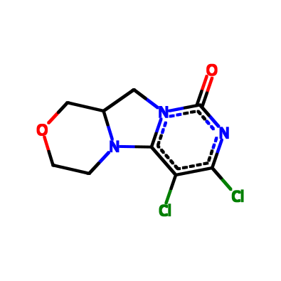 O=c1nc(Cl)c(Cl)c2n1CC1COCCN21